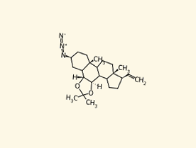 C=C[C@H]1CCC2C3C(CC[C@@]21C)[C@@]1(C)CC[C@H](N=[N+]=[N-])CC1[C@H]1OC(C)(C)O[C@H]31